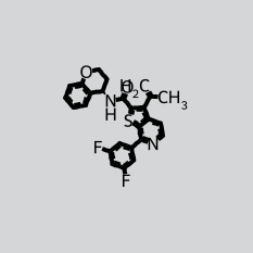 C=C(C)c1c(C(=O)N[C@H]2CCOc3ccccc32)sc2c(-c3cc(F)cc(F)c3)nccc12